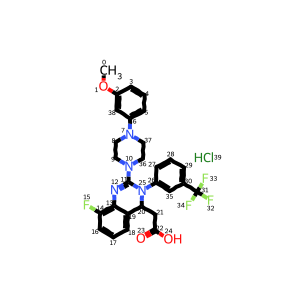 COc1cccc(N2CCN(C3=Nc4c(F)cccc4C(CC(=O)O)N3c3cccc(C(F)(F)F)c3)CC2)c1.Cl